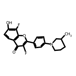 CC1CCCN(c2ccc(-c3oc4c(F)c(O)ccc4c(=O)c3F)cc2)C1